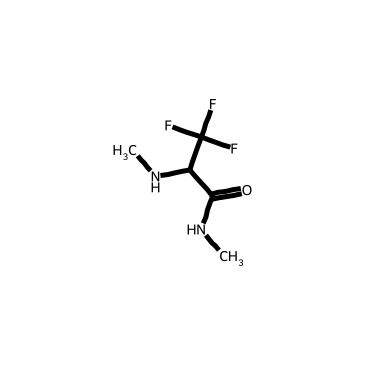 CNC(=O)C(NC)C(F)(F)F